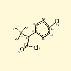 CC(C)(C)C(C(=O)Cl)c1ccc(Cl)cc1